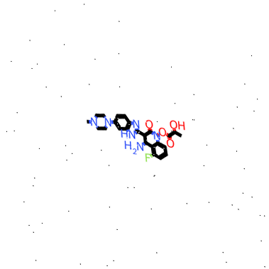 CC(O)C(=O)ON1C(=O)C(c2nc3ccc(N4CCN(C)CC4)cc3[nH]2)C(N)c2c(F)cccc21